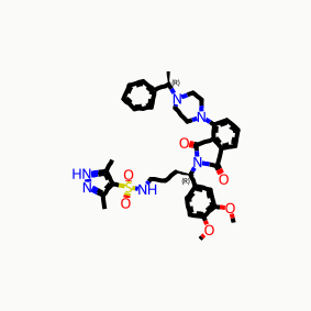 COc1ccc([C@@H](CCCNS(=O)(=O)c2c(C)n[nH]c2C)N2C(=O)c3cccc(N4CCN([C@H](C)c5ccccc5)CC4)c3C2=O)cc1OC